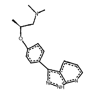 C[C@@H](CN(C)C)Oc1ccc(-c2n[nH]c3ncccc23)cc1